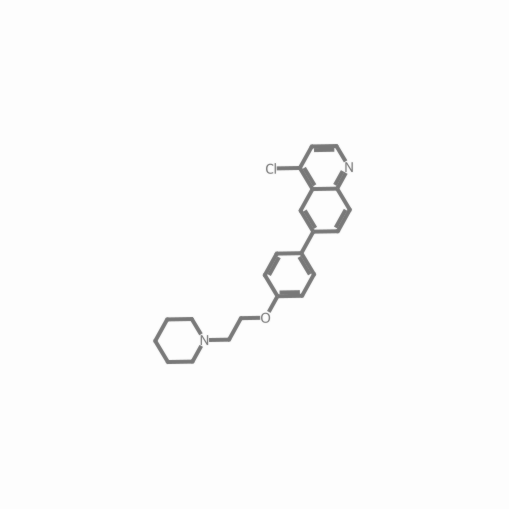 Clc1ccnc2ccc(-c3ccc(OCCN4CCCCC4)cc3)cc12